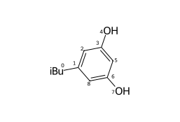 CCC(C)c1cc(O)cc(O)c1